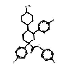 CCCC1CCC(C2CCC(C(=O)Oc3ccc(F)cc3)(c3ccc(F)cc3)CC2c2ccc(F)cc2)CC1